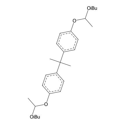 CC(C)COC(C)Oc1ccc(C(C)(C)c2ccc(OC(C)OCC(C)C)cc2)cc1